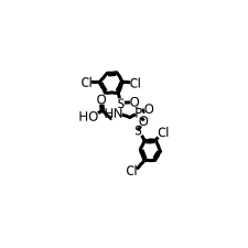 O=C(O)CNCP(=O)(OSc1cc(Cl)ccc1Cl)OSc1cc(Cl)ccc1Cl